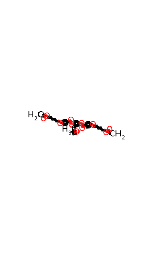 C=CC(=O)OCCCCCCOc1ccc(C(=O)Oc2ccc(OC(=O)c3ccc(OCCCCCCOC(=O)C=C)cc3)c(C)c2)cc1.c1ccoc1